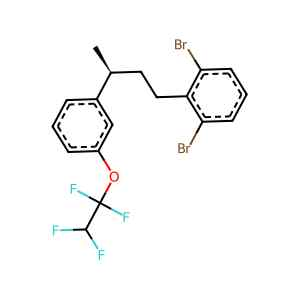 C[C@@H](CCc1c(Br)cccc1Br)c1cccc(OC(F)(F)C(F)F)c1